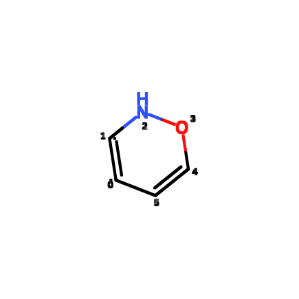 [C]1=[C]NOC=C1